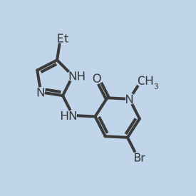 CCc1cnc(Nc2cc(Br)cn(C)c2=O)[nH]1